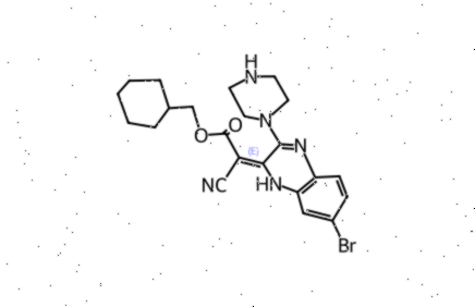 N#C/C(C(=O)OCC1CCCCC1)=C1\Nc2cc(Br)ccc2N=C1N1CCNCC1